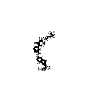 Cc1cc(NCCCS(C)(=O)=O)ncc1-c1cccc(COc2ccc3c(c2)CC2C(C(=O)O)C32)c1